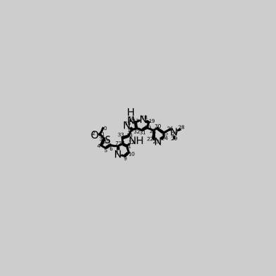 CC(=O)c1ccc(-c2nccc3[nH]c(-c4n[nH]c5ncc(-c6cncc(CN(C)C)c6)cc45)cc23)s1